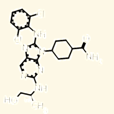 C[C@@H](CO)Nc1ncc2nc(Nc3c(Cl)cccc3Cl)n(C3CCC(C(N)=O)CC3)c2n1